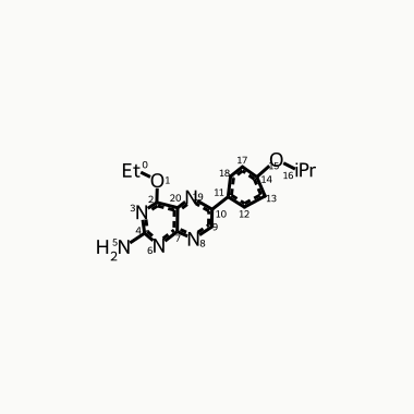 CCOc1nc(N)nc2ncc(-c3ccc(OC(C)C)cc3)nc12